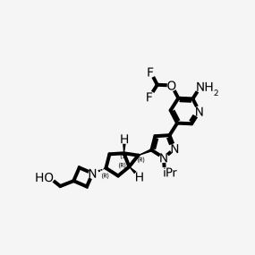 CC(C)n1nc(-c2cnc(N)c(OC(F)F)c2)cc1[C@H]1[C@@H]2C[C@H](N3CC(CO)C3)C[C@@H]21